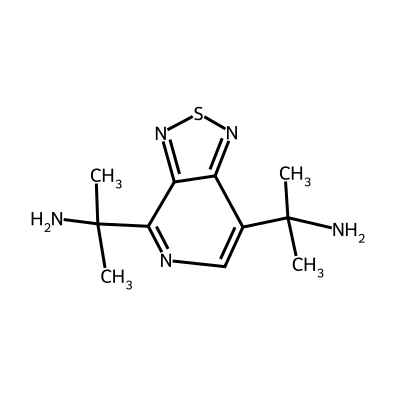 CC(C)(N)c1cnc(C(C)(C)N)c2nsnc12